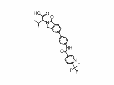 CC(C)C(C(=O)O)N1Cc2cc(-c3ccc(NC(=O)c4ccc(C(F)(F)F)nc4)cc3)ccc2C1=O